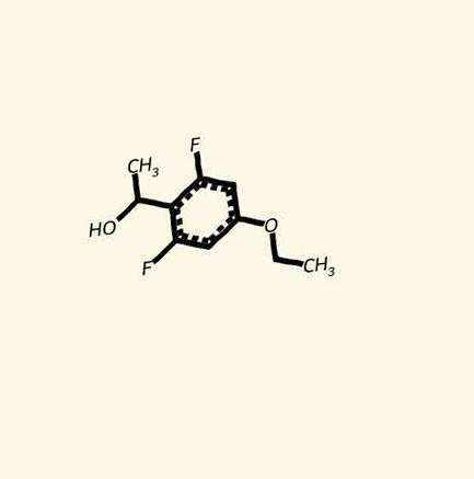 CCOc1cc(F)c(C(C)O)c(F)c1